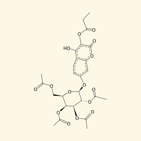 CCC(=O)Oc1c(O)c2ccc(O[C@@H]3O[C@H](COC(C)=O)[C@H](OC(C)=O)[C@H](OC(C)=O)[C@H]3OC(C)=O)cc2oc1=O